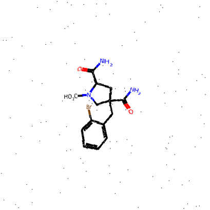 NC(=O)C1CC(Cc2ccccc2Br)(C(N)=O)CN1C(=O)O